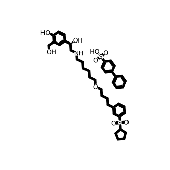 O=S(=O)(O)c1ccc(-c2ccccc2)cc1.O=S(=O)(c1cccc(CCCCOCCCCCCNC[C@H](O)c2ccc(O)c(CO)c2)c1)C1CCCC1